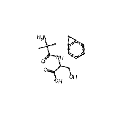 CC(C)(N)C(=O)NC(CO)C(=O)O.c1ccc2c(c1)C2